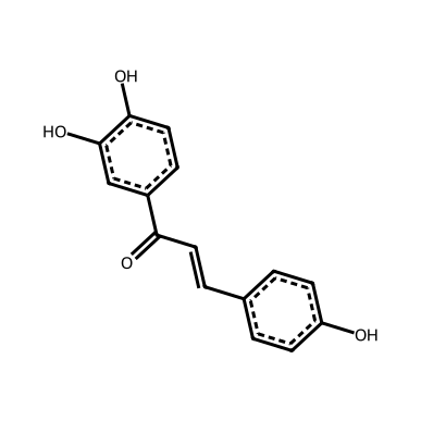 O=C(C=Cc1ccc(O)cc1)c1ccc(O)c(O)c1